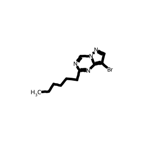 CCCCCCc1n[c]n2ncc(Br)c2n1